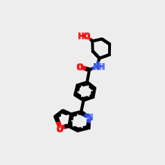 O=C(NC1CCCC(O)C1)c1ccc(-c2nccc3occc23)cc1